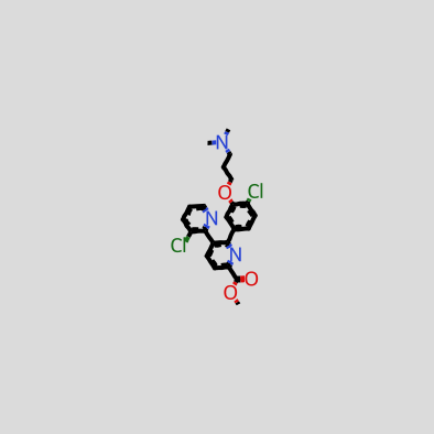 COC(=O)c1ccc(-c2ncccc2Cl)c(-c2ccc(Cl)c(OCCCN(C)C)c2)n1